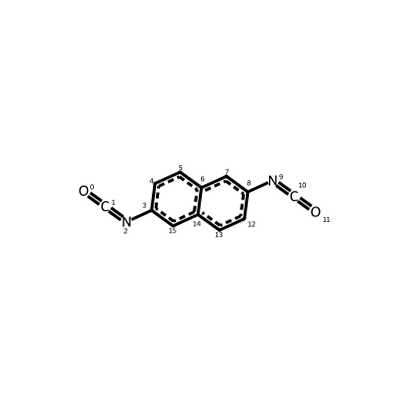 O=C=Nc1ccc2cc(N=C=O)ccc2c1